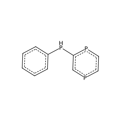 c1ccc(Pc2cpccp2)cc1